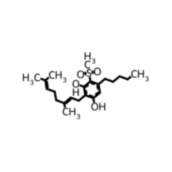 CCCCCc1cc(O)c(C/C=C(\C)CCC=C(C)C)c(O)c1S(C)(=O)=O